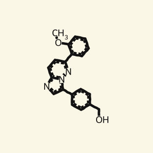 COc1ccccc1-c1ccc2ncc(-c3ccc(CO)cc3)n2n1